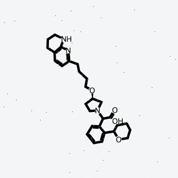 O=C(O)C(c1ccccc1C1CCCCO1)N1CC[C@@H](OCCCCc2ccc3c(n2)NCCC3)C1